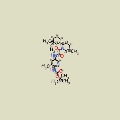 Cc1cc(NC(=O)C(=O)N2CC(C)CCC2C2CCCC(C)(C)C2)cnc1NC(=O)OC(C)(C)C